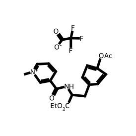 CCOC(=O)C(Cc1ccc(OC(C)=O)cc1)NC(=O)c1ccc[n+](C)c1.O=C([O-])C(F)(F)F